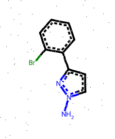 Nn1ccc(-c2ccccc2Br)n1